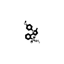 COc1ccc(-n2c(C)ccc2-c2ccccc2S(N)(=O)=O)cc1